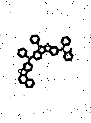 Cc1ccccc1N(c1ccccc1)c1ccc2c(c1)sc1c2c2ccc(N(c3ccccc3)c3ccc4c(c3)oc3ccc5ccccc5c34)cc2n1-c1ccccc1